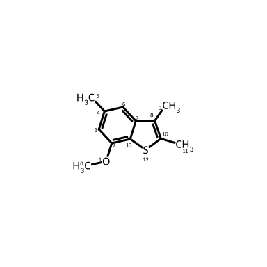 COc1cc(C)cc2c(C)c(C)sc12